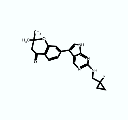 CC1(C)CC(=O)c2ccc(-c3c[nH]c4nc(NCC5(F)CC5)ncc34)cc2O1